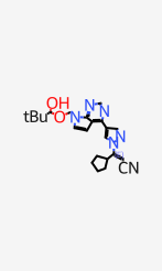 CC(C)(C)C(O)OCn1ccc2c(-c3cnn(/C(=C/C#N)C4CCCC4)c3)ncnc21